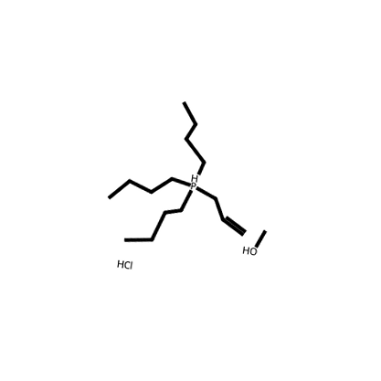 C=CC[PH](CCCC)(CCCC)CCCC.CO.Cl